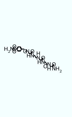 NC(=O)CNC(=O)CNC(=O)CNCCNC(=O)/C=N/OCc1ccc(S(N)(=O)=O)cc1